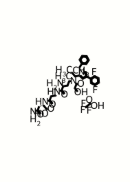 CC(C)(C)[C@H](c1cc(-c2cc(F)ccc2F)cn1Cc1ccccc1)N(CC[C@H](N)C(=O)NCCC(=O)N[C@@H](CC(N)=O)C(=O)O)C(=O)CO.O=C(O)C(F)(F)F